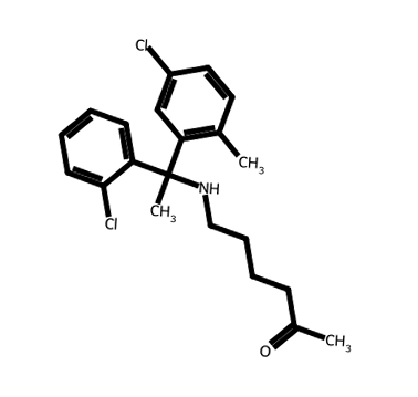 CC(=O)CCCCNC(C)(c1cc(Cl)ccc1C)c1ccccc1Cl